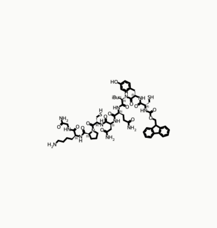 CC[C@H](C)[C@H](NC(=O)[C@H](Cc1ccc(O)cc1)NC(=O)[C@H](CS)NC(=O)OCC1c2ccccc2-c2ccccc21)C(=O)N[C@@H](CCC(N)=O)C(=O)N[C@@H](CC(N)=O)C(=O)N[C@@H](CS)C(=O)N1CCC[C@H]1C(=O)N[C@@H](CCCCN)C(=O)NCC(N)=O